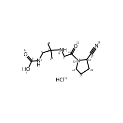 CC(C)(CNC(=O)O)NCC(=O)N1CCCC1C#N.Cl